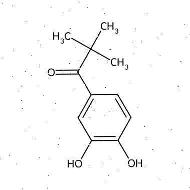 CC(C)(C)C(=O)c1ccc(O)c(O)c1